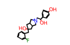 Oc1ccc(C(O)CN2CC3CC(O)(Cc4ccccc4F)CC3C2)cc1